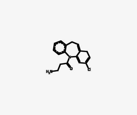 NCCC(=O)N1C2=CC(Cl)=CCC2=CCc2ccccc21